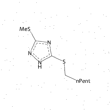 CCCCCCSc1nc(SC)n[nH]1